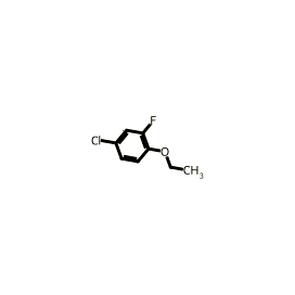 CCOc1ccc(Cl)[c]c1F